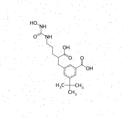 CC(C)(C)c1cc(CC(CCCNC(=O)NO)C(=O)O)cc(C(=O)O)c1